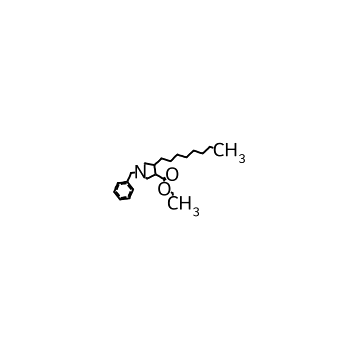 CCCCCCCCC1CN(Cc2ccccc2)CC1C(=O)OCC